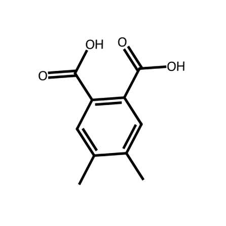 Cc1cc(C(=O)O)c(C(=O)O)cc1C